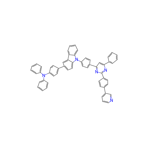 c1ccc(-c2cc(-c3ccc(-n4c5ccccc5c5cc(-c6ccc(N(c7ccccc7)c7ccccc7)cc6)ccc54)cc3)nc(-c3ccc(-c4cccnc4)cc3)n2)cc1